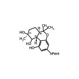 CCCCCc1cc(O)c2c(c1)OC(C)(C)[C@@H]1CC[C@](C)(O)C(O)[C@@H]21